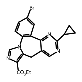 CCOC(=O)c1ncn2c1Cc1cnc(C3CC3)nc1-c1cc(Br)ccc1-2